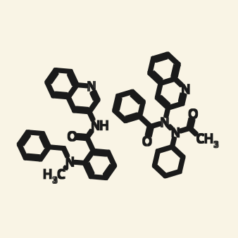 CC(=O)N(C1CCCCC1)N(C(=O)c1ccccc1)c1cnc2ccccc2c1.CN(Cc1ccccc1)c1ccccc1C(=O)Nc1cnc2ccccc2c1